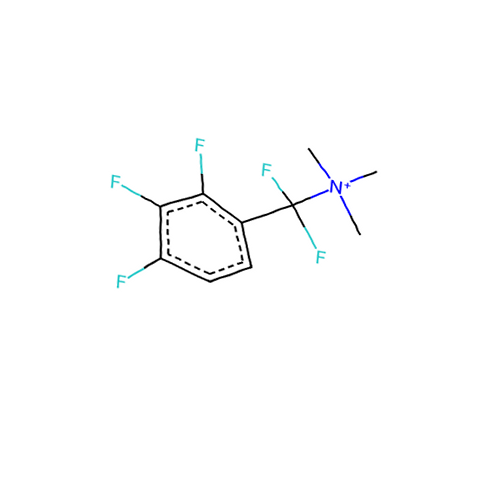 C[N+](C)(C)C(F)(F)c1ccc(F)c(F)c1F